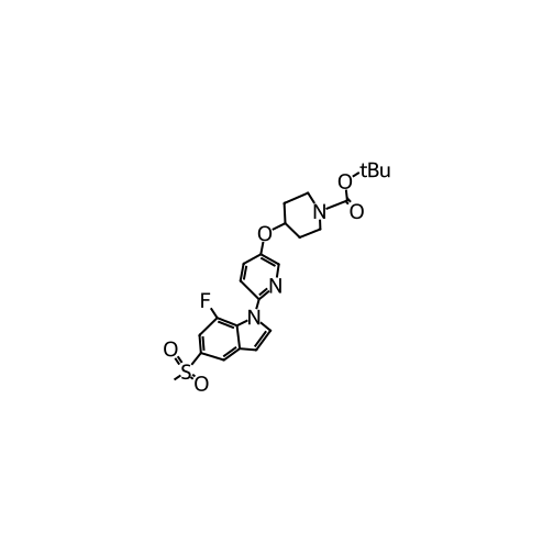 CC(C)(C)OC(=O)N1CCC(Oc2ccc(-n3ccc4cc(S(C)(=O)=O)cc(F)c43)nc2)CC1